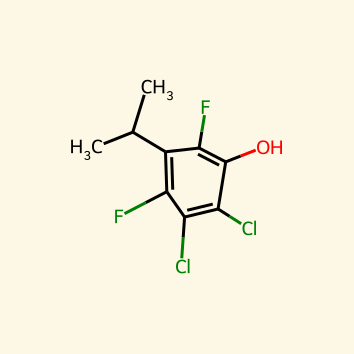 CC(C)c1c(F)c(O)c(Cl)c(Cl)c1F